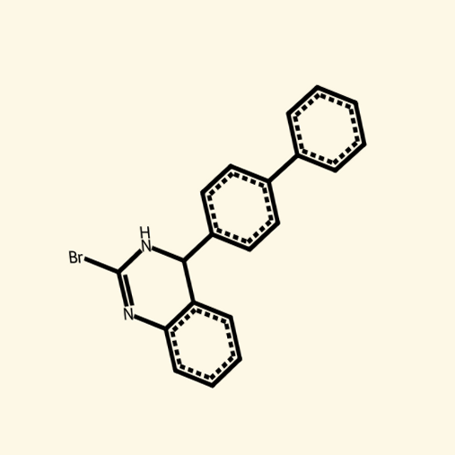 BrC1=Nc2ccccc2C(c2ccc(-c3ccccc3)cc2)N1